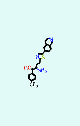 N[C@H](CCc1ncc(-c2ccc3cnccc3c2)s1)[C@@H](O)c1ccc(C(F)(F)F)cc1